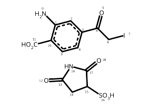 Nc1cc(C(=O)CI)ccc1C(=O)O.O=C1CC(S(=O)(=O)O)C(=O)N1